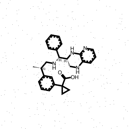 C[C@H](CN[C@H](c1ccccc1)[C@H]1CNc2cccnc2N1)c1cccc(C2(C(=O)O)CC2)c1